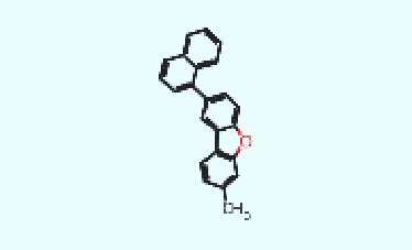 Cc1ccc2c(c1)oc1ccc(-c3cccc4ccccc34)cc12